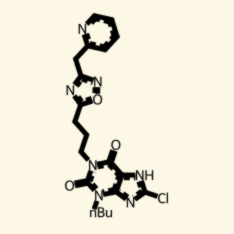 CCCCn1c(=O)n(CCCc2nc(Cc3ccccn3)no2)c(=O)c2[nH]c(Cl)nc21